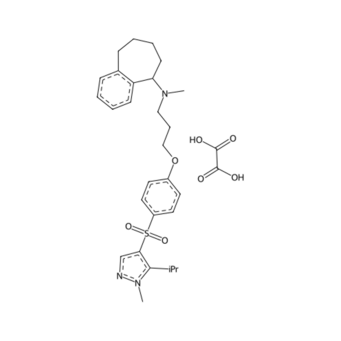 CC(C)c1c(S(=O)(=O)c2ccc(OCCCN(C)C3CCCCc4ccccc43)cc2)cnn1C.O=C(O)C(=O)O